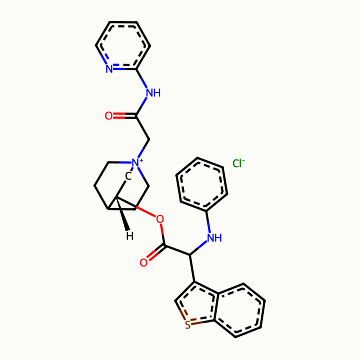 O=C(C[N+]12CCC(CC1)[C@@H](OC(=O)C(Nc1ccccc1)c1csc3ccccc13)C2)Nc1ccccn1.[Cl-]